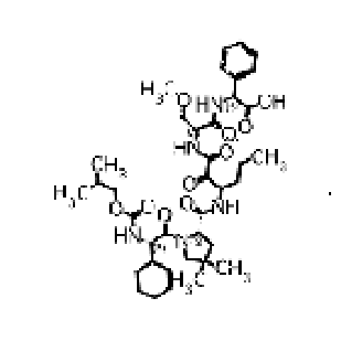 CCCC(NC(=O)[C@@H]1CC(C)(C)CN1C(=O)[C@@H](NC(=O)OCC(C)C)C1CCCCC1)C(=O)C(=O)N[C@@H](COC)C(=O)N[C@H](C(=O)O)c1ccccc1